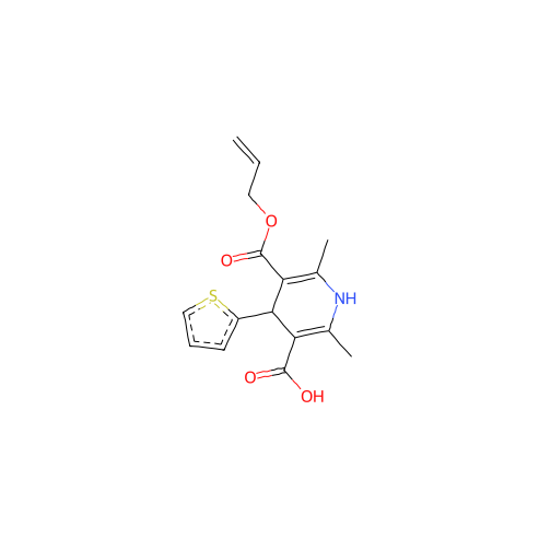 C=CCOC(=O)C1=C(C)NC(C)=C(C(=O)O)C1c1cccs1